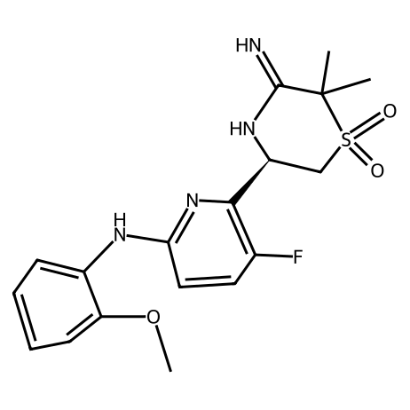 COc1ccccc1Nc1ccc(F)c([C@@H]2CS(=O)(=O)C(C)(C)C(=N)N2)n1